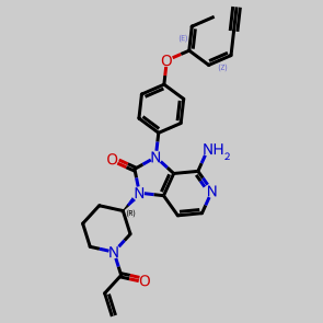 C#C/C=C\C(=C/C)Oc1ccc(-n2c(=O)n([C@@H]3CCCN(C(=O)C=C)C3)c3ccnc(N)c32)cc1